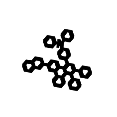 c1ccc(-c2cc(-c3ccc(N(c4ccccc4)c4ccccc4)cc3)c3c4ccc(-c5ccc6ccccc6c5)cc4c4ccccc4c3c2-c2ccccc2)cc1